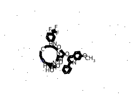 COc1ccc2c(O[C@@H]3C[C@H]4C(=O)N[C@]5(C(=O)O)C[C@H]5/C=C\CCCCC[C@H](Nc5cccc(C(F)(F)F)c5)C(=O)N4C3)cc(-c3ccccc3)nc2c1